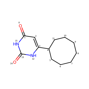 O=c1cc(C2CCCCCCC2)[nH]c(=O)[nH]1